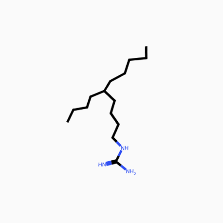 CCCCCC(CCCC)CCCCNC(=N)N